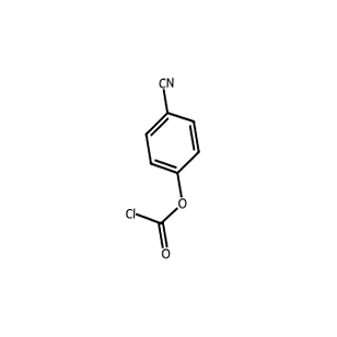 N#Cc1ccc(OC(=O)Cl)cc1